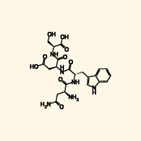 NC(=O)C[C@H](N)C(=O)N[C@@H](Cc1c[nH]c2ccccc12)C(=O)N[C@@H](CC(=O)O)C(=O)N[C@@H](CO)C(=O)O